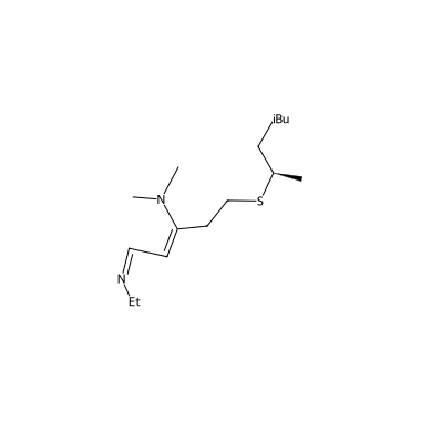 CC/N=C\C=C(\CCS[C@H](C)CC(C)CC)N(C)C